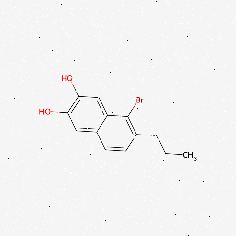 CCCc1ccc2cc(O)c(O)cc2c1Br